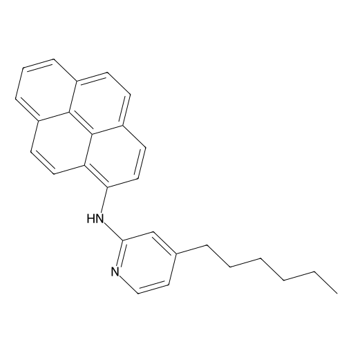 CCCCCCc1ccnc(Nc2ccc3ccc4cccc5ccc2c3c45)c1